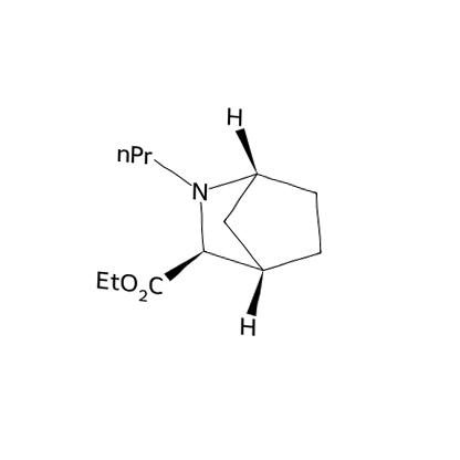 CCCN1[C@@H]2CC[C@@H](C2)[C@H]1C(=O)OCC